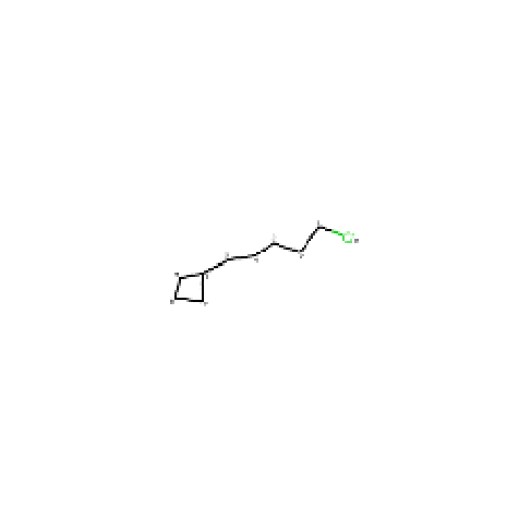 ClCCCCCC1CCC1